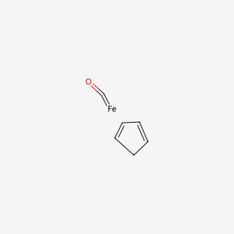 C1=CCC=C1.O=[C]=[Fe]